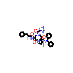 CN[C@H](C)C(=O)N1CC[C@]2(C(=O)NC(c3ccccc3)c3ccccc3)CCCN2C(=O)[C@@H](NC(=O)CCc2ccccc2)C1